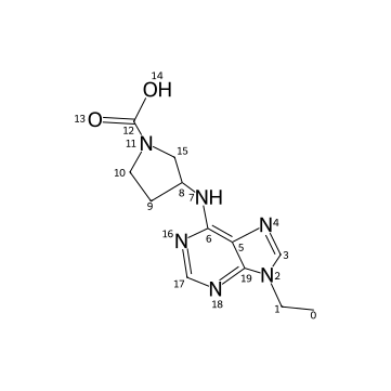 CCn1cnc2c(NC3CCN(C(=O)O)C3)ncnc21